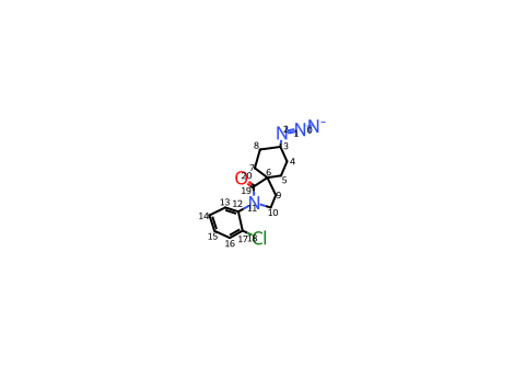 [N-]=[N+]=NC1CCC2(CC1)CCN(c1ccccc1Cl)C2=O